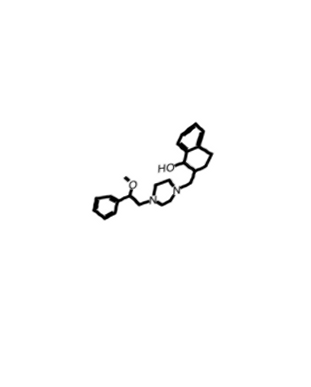 COC(CN1CCN(CC2CCc3ccccc3C2O)CC1)c1ccccc1